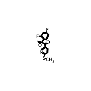 CSc1ccc(C(=O)C2(c3ccc(F)cc3F)CO2)cn1